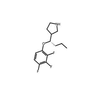 CCC[C@H](Oc1ccc(F)c(F)c1F)C1CCNC1